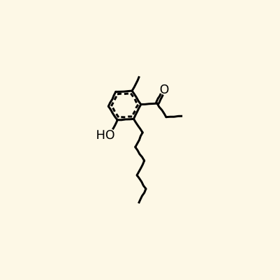 CCCCCCc1c(O)ccc(C)c1C(=O)CC